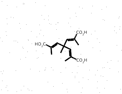 CC(=CC(C)(C=C(C)C(=O)O)C=C(C)C(=O)O)C(=O)O